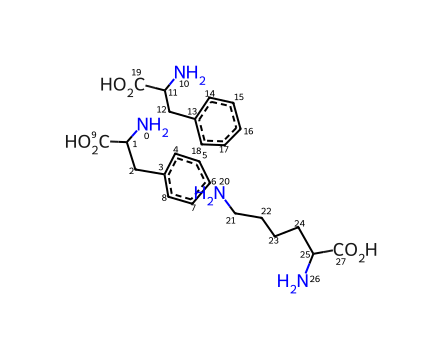 NC(Cc1ccccc1)C(=O)O.NC(Cc1ccccc1)C(=O)O.NCCCCC(N)C(=O)O